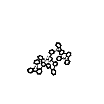 c1ccc(-c2ccccc2-c2cccc(-c3cc(-c4cccc(-n5c6ccccc6c6cc(-c7cccc8c9ccccc9n(-c9ccccc9)c78)ccc65)c4)nc(-n4c5ccccc5c5cc(-c6cccc7c8ccccc8n(-c8ccccc8)c67)ccc54)n3)c2)cc1